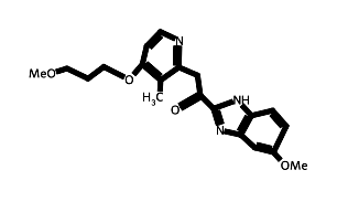 COCCCOc1ccnc(CC(=O)c2nc3cc(OC)ccc3[nH]2)c1C